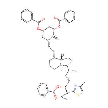 C=C1/C(=C\C=C2/CCC[C@]3(C)[C@@H]([C@H](C)/C=C/[C@@H](OC(=O)c4ccccc4)C4(c5nc(C)cs5)CC4)CC[C@@H]23)C[C@@H](OC(=O)c2ccccc2)C[C@@H]1OC(=O)c1ccccc1